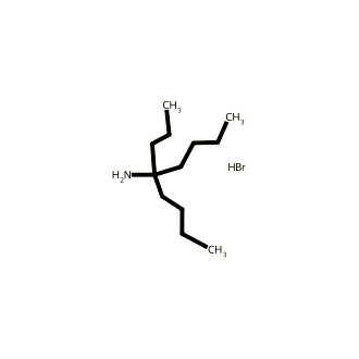 Br.CCCCC(N)(CCC)CCCC